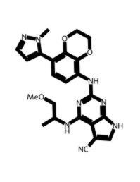 COCC(C)Nc1nc(Nc2ccc(-c3ccnn3C)c3c2OCCO3)nc2[nH]cc(C#N)c12